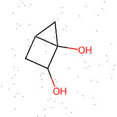 OC1CC2CC12O